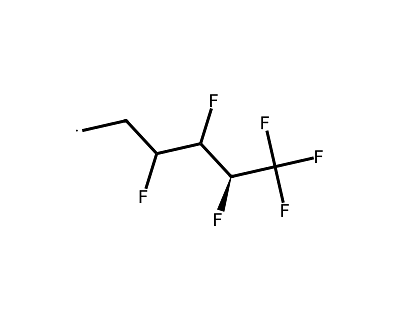 [CH2]CC(F)C(F)[C@H](F)C(F)(F)F